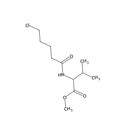 COC(=O)C(NC(=O)CCCCCl)C(C)C